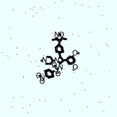 COc1cc(OC)cc(C2C(=NS(=O)(=O)c3ccc([N+](=O)[O-])cc3)N(C3CCN(C)CC3)C2c2ccc(-c3c(C)noc3C)cc2)c1